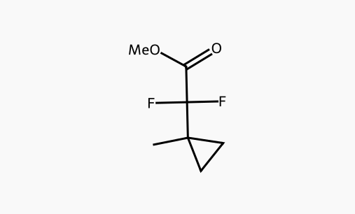 COC(=O)C(F)(F)C1(C)CC1